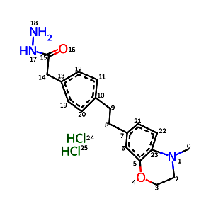 CN1CCOc2cc(CCc3ccc(CC(=O)NN)cc3)ccc21.Cl.Cl